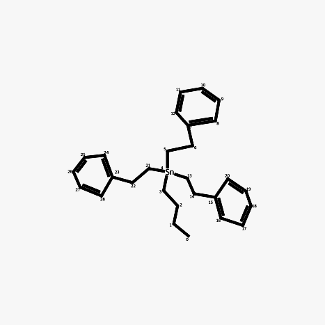 CCC[CH2][Sn]([CH2]Cc1ccccc1)([CH2]Cc1ccccc1)[CH2]Cc1ccccc1